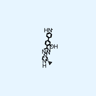 CNc1ccc(-c2ccc(-c3cnc(N4CCN[C@@H](C5CC5)C4)nn3)c(O)c2)cc1